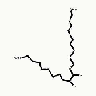 CCCCCCCCCCCCCCCCCCC(C(C)=O)C(=O)OCCCCCCCCCOC